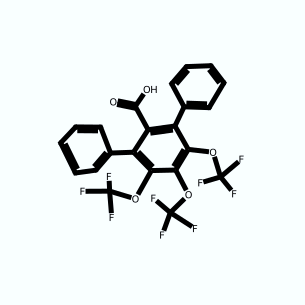 O=C(O)c1c(-c2ccccc2)c(OC(F)(F)F)c(OC(F)(F)F)c(OC(F)(F)F)c1-c1ccccc1